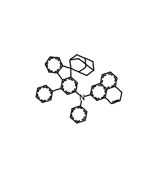 C1=Cc2cc(N(c3ccccc3)c3cc(-c4ccccc4)c4c(c3)C3(c5ccccc5-4)C4CC5CC(C4)CC3C5)cc3cccc(c23)C1